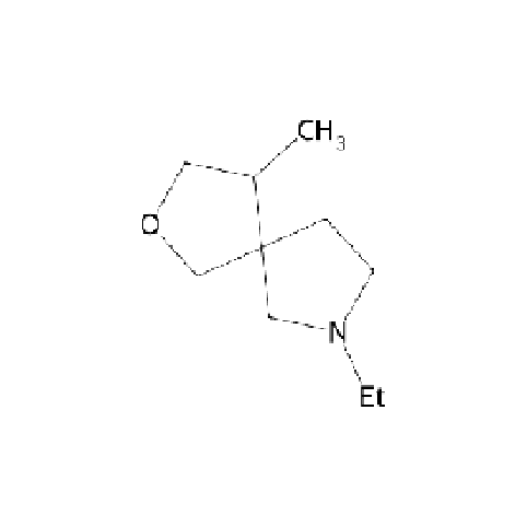 CCN1CCC2(COCC2C)C1